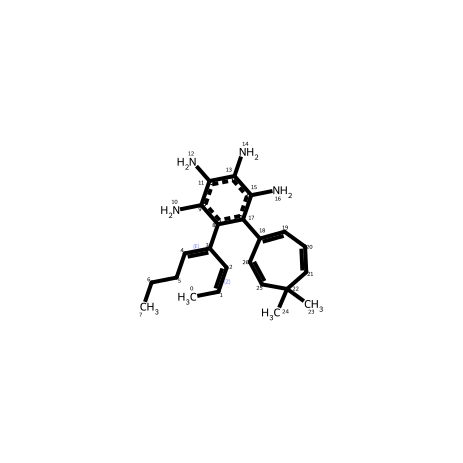 C/C=C\C(=C/CCC)c1c(N)c(N)c(N)c(N)c1C1=CC=CC(C)(C)C=C1